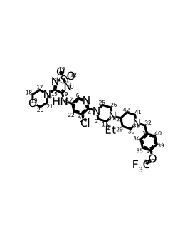 CC[C@H]1CN(c2ncc(NC3=NS(=O)(=O)N=C3N3CCOCC3)cc2Cl)CCN1C1CCN(Cc2ccc(OC(F)(F)F)cc2)CC1